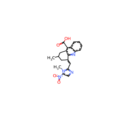 CC1C/C(=C\c2ncc([N+](=O)[O-])n2C)c2nc3ccccc3c(C(=O)O)c2C1